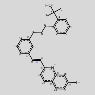 CC(C)(O)c1ccccc1CCCc1cccc(/C=C/c2ccc3ccc(I)cc3n2)c1